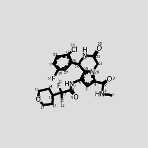 CNC(=O)c1cc(NC(=O)C(F)(F)C2CCOCC2)c2n1CC(=O)NC2c1cc(F)ccc1Cl